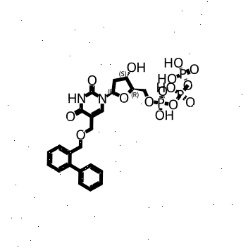 O=c1[nH]c(=O)n([C@H]2C[C@H](O)[C@@H](COP(=O)(O)OP(=O)(O)OP(=O)(O)O)O2)cc1COCc1ccccc1-c1ccccc1